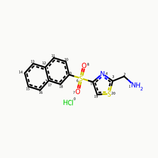 Cl.NCc1nc(S(=O)(=O)c2ccc3ccccc3c2)cs1